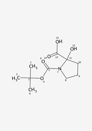 CC(C)(C)OC(=O)N1CCCC1(O)C(=O)O